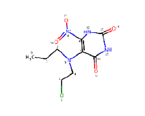 CCCN(CCCl)c1c([N+](=O)[O-])[nH]c(=O)[nH]c1=O